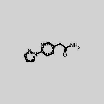 NC(=O)Cc1ccc(-n2cccn2)nc1